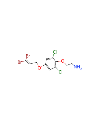 NCCOc1c(Cl)cc(OCC=C(Br)Br)cc1Cl